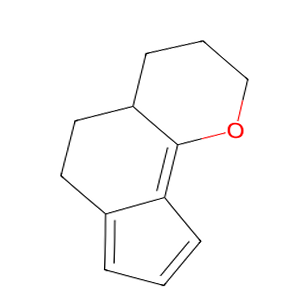 C1=CC2=C3OCCCC3CCC2=C1